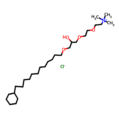 C[N+](C)(C)CCOCCOCC(O)COCCCCCCCCCCCCC1CCCCC1.[Cl-]